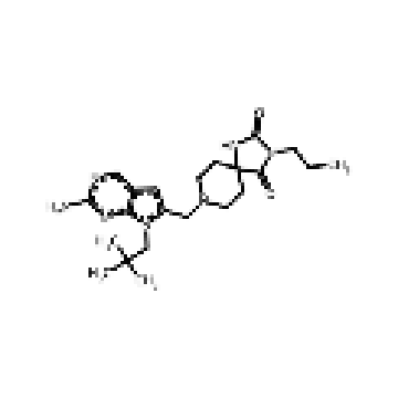 CCCN1C(=O)NC2(CCN(Cc3cc4cnc(N)nc4n3CC(C)(C)C)CC2)C1=O